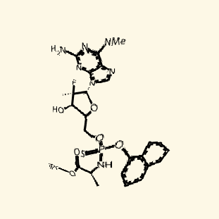 CNc1nc(N)nc2c1ncn2[C@@H]1OC(COP(=S)(N[C@@H](C)C(=O)OC(C)C)Oc2cccc3ccccc23)[C@@H](O)[C@@]1(C)F